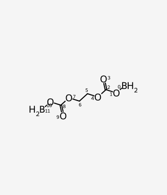 BOC(=O)OCCOC(=O)OB